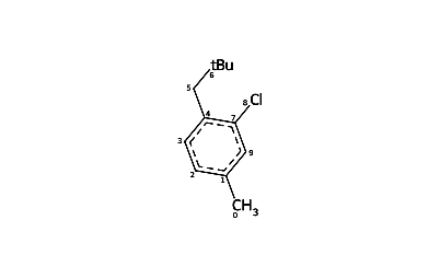 Cc1ccc(CC(C)(C)C)c(Cl)c1